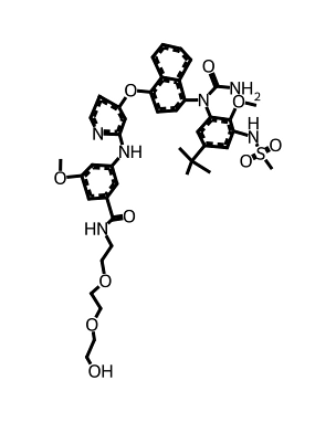 COc1cc(Nc2cc(Oc3ccc(N(C(N)=O)c4cc(C(C)(C)C)cc(NS(C)(=O)=O)c4OC)c4ccccc34)ccn2)cc(C(=O)NCCOCCOCCO)c1